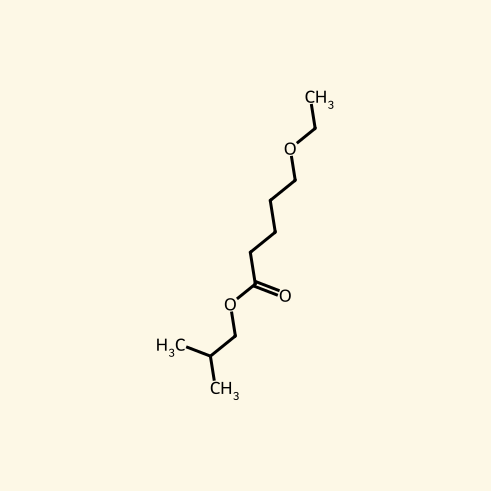 CCOCCCCC(=O)OCC(C)C